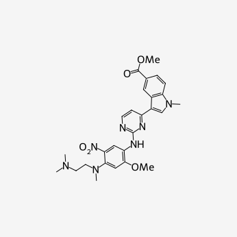 COC(=O)c1ccc2c(c1)c(-c1ccnc(Nc3cc([N+](=O)[O-])c(N(C)CCN(C)C)cc3OC)n1)cn2C